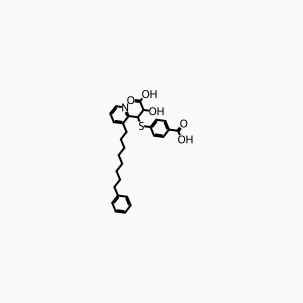 O=C(O)c1ccc(SC(c2ncccc2CCCCCCCCc2ccccc2)C(O)C(=O)O)cc1